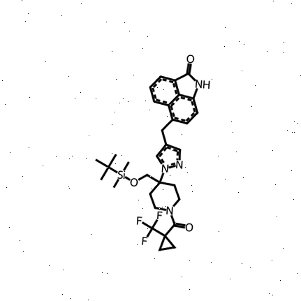 CC(C)(C)[Si](C)(C)OCC1(n2cc(Cc3ccc4c5c(cccc35)C(=O)N4)cn2)CCN(C(=O)C2(C(F)(F)F)CC2)CC1